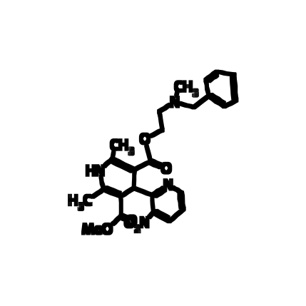 COC(=O)C1=C(C)NC(C)=C(C(=O)OCCN(C)Cc2ccccc2)C1c1ncccc1[N+](=O)[O-]